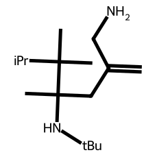 C=C(CN)CC(C)(NC(C)(C)C)C(C)(C)C(C)C